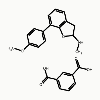 CNC1Cc2cccc(-c3ccc(OC)cc3)c2O1.O=C(O)c1cccc(C(=O)O)c1